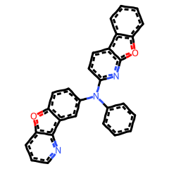 c1ccc(N(c2ccc3oc4cccnc4c3c2)c2ccc3c(n2)oc2ccccc23)cc1